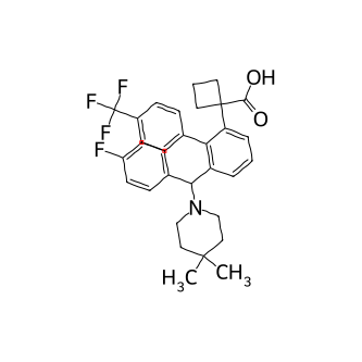 CC1(C)CCN(C(c2ccc(F)cc2)c2cccc(C3(C(=O)O)CCC3)c2-c2ccc(C(F)(F)F)cc2)CC1